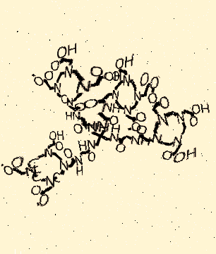 COC(=O)CN1CCN(CC(=O)O)CCN(CC(=O)O)CCN(CC(=O)NCC(=O)NCC(CNC(=O)CNC(=O)CN2CCN(CC(=O)O)CCN(CC(=O)O)CCN(CC(=O)OC)CC2)(CNC(=O)CNC(=O)CN2CCN(CC(=O)O)CCN(CC(=O)OC)CCN(CC(=O)OC)CC2)CNC(=O)CNC(=O)CN2CCN(CC(=O)O)CCN(CC(=O)OC)CCN(CC(=O)OC)CC2)CC1